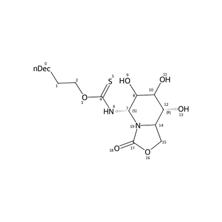 CCCCCCCCCCCCOC(=S)N[C@@H]1C(O)C(O)[C@H](O)C2COC(=O)N21